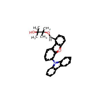 CC(C)(O)C(C)(C)OBc1cccc2oc3c(-n4c5ccccc5c5ccccc54)cccc3c12